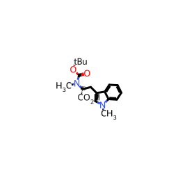 CN(C(=O)OC(C)(C)C)[C@H](Cc1cn(C)c2ccccc12)C(=O)O